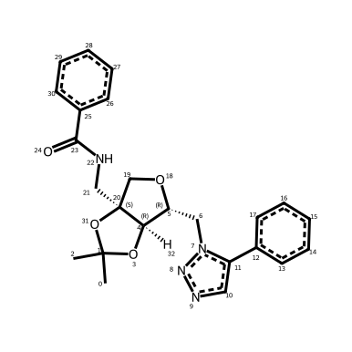 CC1(C)O[C@@H]2[C@@H](Cn3nncc3-c3ccccc3)OC[C@]2(CNC(=O)c2ccccc2)O1